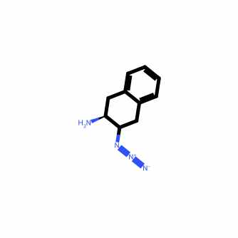 [N-]=[N+]=NC1Cc2ccccc2C[C@@H]1N